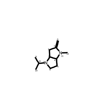 C=C1CC2C(CCN2C(C)C)N1C